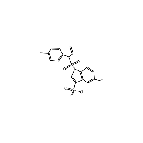 C=CC(c1ccc(C)cc1)S(=O)(=O)n1cc(S(=O)(=O)Cl)c2cc(F)ccc21